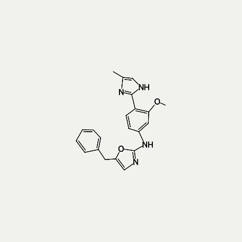 COc1cc(Nc2ncc(Cc3ccccc3)o2)ccc1-c1nc(C)c[nH]1